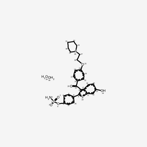 NS(=O)(=O)Oc1ccc(-c2sc3cc(O)ccc3c2C(=O)c2ccc(OCCN3CCCCC3)cc2)cc1.O.O